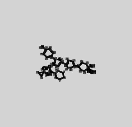 N#CC1(NC(=O)[C@@H]2CCCC[C@H]2c2nc(-c3ccc(F)cc3)sc2-c2ccc(N3CC[SH](=N)(O)CC3)cc2)CC1